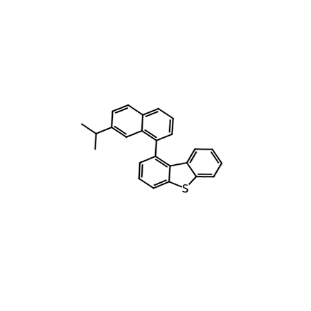 CC(C)c1ccc2cccc(-c3cccc4sc5ccccc5c34)c2c1